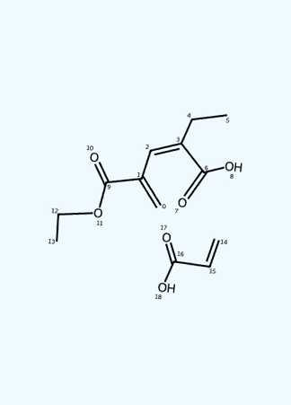 C=C(C=C(CC)C(=O)O)C(=O)OCC.C=CC(=O)O